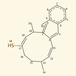 C=C1C(=C\c2ccccc2C)/C=C\C(C)CC/C(S)=C\C1C